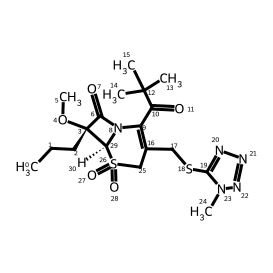 CCC[C@@]1(OC)C(=O)N2C(C(=O)C(C)(C)C)=C(CSc3nnnn3C)CS(=O)(=O)[C@H]21